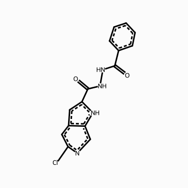 O=C(NNC(=O)c1cc2cc(Cl)ncc2[nH]1)c1ccccc1